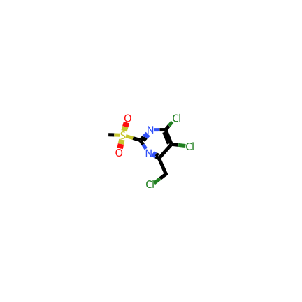 CS(=O)(=O)c1nc(Cl)c(Cl)c(CCl)n1